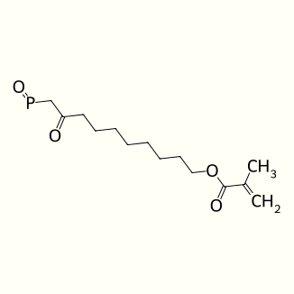 C=C(C)C(=O)OCCCCCCCCC(=O)CP=O